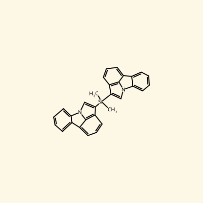 C[Si](C)(c1cn2c3ccccc3c3cccc1c32)c1cn2c3ccccc3c3cccc1c32